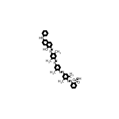 Cc1cc(N=Nc2cc(C)c(N=Nc3ccc4cc(Nc5ccccc5)ccc4c3O)cc2C)ccc1N=Nc1cc(C)c(N=Nc2ccccc2S(=O)(=O)O)c(C)c1